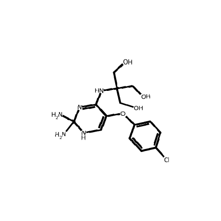 NC1(N)N=C(NC(CO)(CO)CO)C(Oc2ccc(Cl)cc2)=CN1